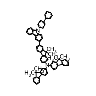 CC1(C)c2ccccc2-c2ccc(N(c3ccc4c(c3)C(C)(C)c3ccccc3-4)c3ccc4c(c3)C(C)(C)c3cc(-c5ccc6c(c5)c5ccccc5n6-c5ccc(-c6ccccc6)cc5)ccc3-4)cc21